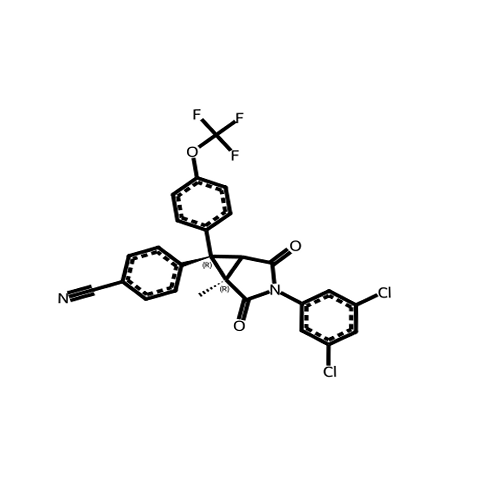 C[C@@]12C(=O)N(c3cc(Cl)cc(Cl)c3)C(=O)C1[C@@]2(c1ccc(C#N)cc1)c1ccc(OC(F)(F)F)cc1